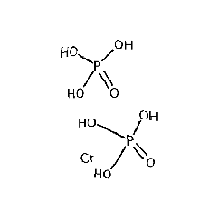 O=P(O)(O)O.O=P(O)(O)O.[Cr]